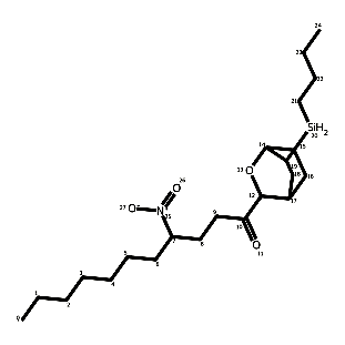 [CH2]CCCCCCC(CCC(=O)[C]1OC2CCC1CC2[SiH2]CCCC)[N+](=O)[O-]